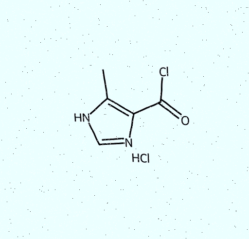 Cc1[nH]cnc1C(=O)Cl.Cl